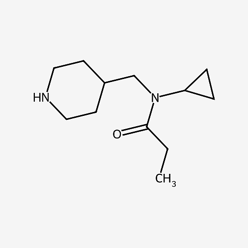 CCC(=O)N(CC1CCNCC1)C1CC1